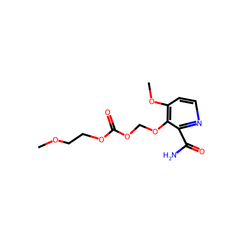 COCCOC(=O)OCOc1c(OC)ccnc1C(N)=O